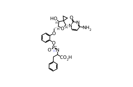 Nc1ccn([C@@H]2O[C@H](COc3ccccc3O/[P+]([O-])=N/C(Cc3ccccc3)C(=O)O)[C@@H](O)C23CC3)c(=O)n1